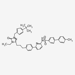 CCn1c(CCCc2ccc(-c3cccc(NS(=O)(=O)c4ccc(-c5ccc(C)cc5)cc4)n3)cc2)nn(Cc2ccc(C(C)(C)C)cc2)c1=O